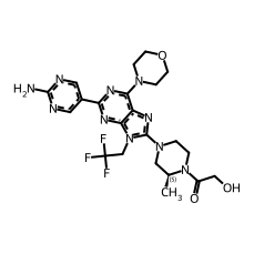 C[C@H]1CN(c2nc3c(N4CCOCC4)nc(-c4cnc(N)nc4)nc3n2CC(F)(F)F)CCN1C(=O)CO